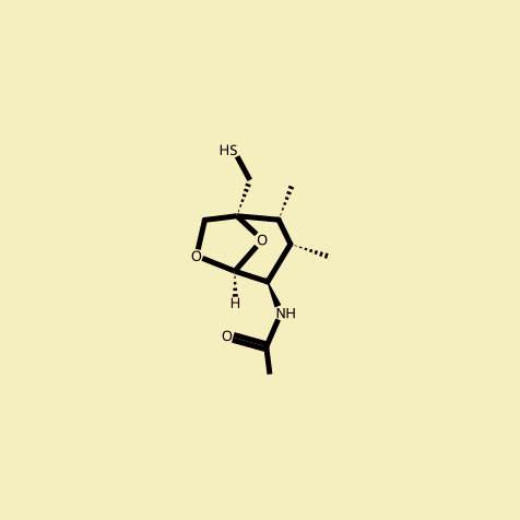 CC(=O)N[C@H]1[C@H]2OC[C@](CS)(O2)[C@H](C)[C@@H]1C